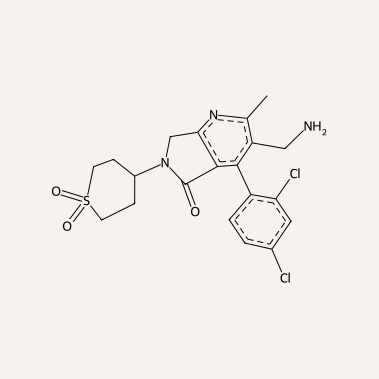 Cc1nc2c(c(-c3ccc(Cl)cc3Cl)c1CN)C(=O)N(C1CCS(=O)(=O)CC1)C2